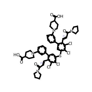 O=C(O)C1CCN(c2cccc(-c3cc(Sc4cc(-c5cccc(N6CCC(C(=O)O)CC6)c5)c(/C=C/C(=O)N5CCCC5)c(Cl)c4Cl)c(Cl)c(Cl)c3/C=C/C(=O)N3CCCC3)c2)CC1